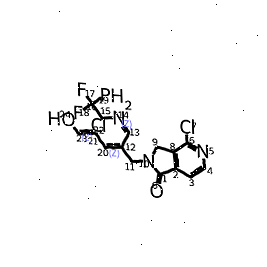 O=C1c2ccnc(Cl)c2CN1CC(/C=N\CC(F)(F)P)=C/C(Cl)=C/O